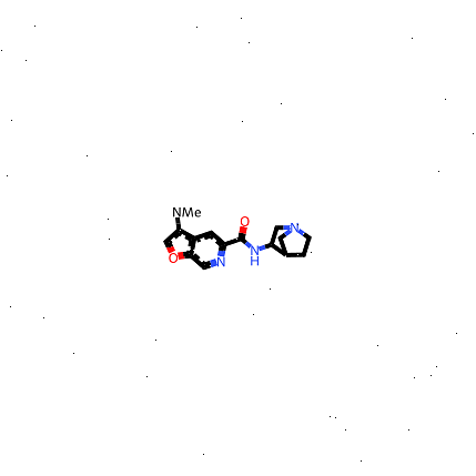 CNc1coc2cnc(C(=O)NC3CN4CCC3C4)cc12